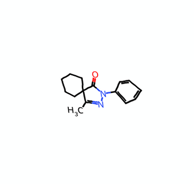 CC1=NN(c2ccccc2)C(=O)C12CCCCC2